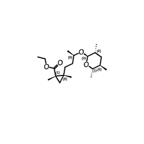 CCOC(=O)[C@@]1(C)C[C@@]1(C)CC[C@@H](C)O[C@@H]1O[C@@H](C)[C@H](C)C[C@H]1C